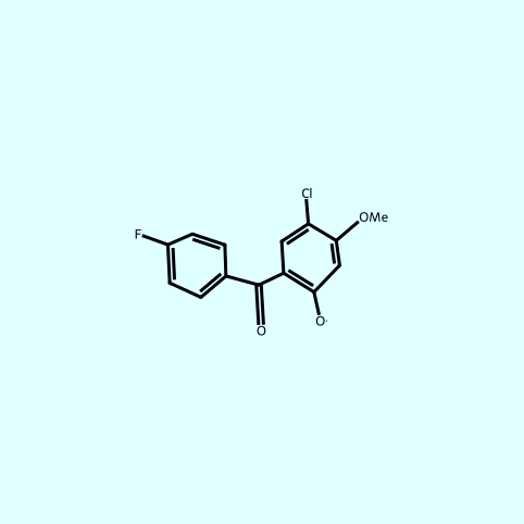 COc1cc([O])c(C(=O)c2ccc(F)cc2)cc1Cl